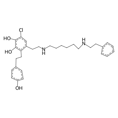 Oc1ccc(CCc2c(CCNCCCCCCNCCc3ccccc3)cc(Cl)c(O)c2O)cc1